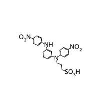 O=[N+]([O-])c1ccc(Nc2cccc(N(CCCS(=O)(=O)O)c3ccc([N+](=O)[O-])cc3)c2)cc1